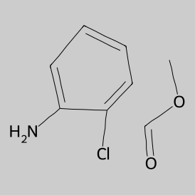 COC=O.Nc1ccccc1Cl